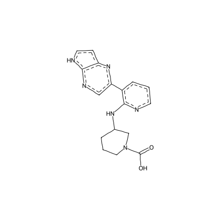 O=C(O)N1CCCC(Nc2ncccc2-c2cnc3[nH]ccc3n2)C1